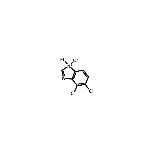 CC[N+]1([O-])C=Nc2c1ccc(Cl)c2Cl